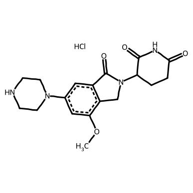 COc1cc(N2CCNCC2)cc2c1CN(C1CCC(=O)NC1=O)C2=O.Cl